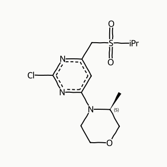 CC(C)S(=O)(=O)Cc1cc(N2CCOC[C@@H]2C)nc(Cl)n1